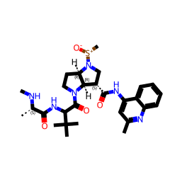 CN[C@@H](C)C(=O)NC(C(=O)N1CC[C@@H]2[C@H]1[C@@H](C(=O)Nc1cc(C)nc3ccccc13)CN2[S+](C)[O-])C(C)(C)C